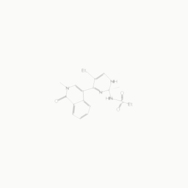 CCC1=CN[C@@](C)(NS(=O)(=O)CC)N=C1c1cn(C)c(=O)c2ccccc12